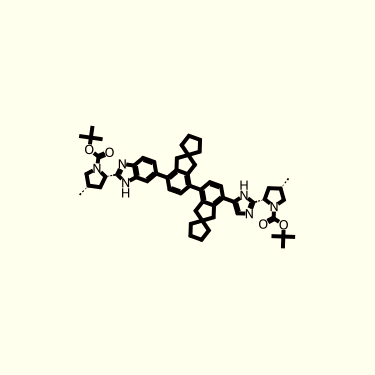 C[C@H]1C[C@@H](c2ncc(-c3ccc(-c4ccc(-c5ccc6nc([C@@H]7C[C@H](C)CN7C(=O)OC(C)(C)C)[nH]c6c5)c5c4CC4(CCCC4)C5)c4c3CC3(CCCC3)C4)[nH]2)N(C(=O)OC(C)(C)C)C1